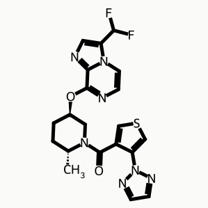 C[C@@H]1CC[C@@H](Oc2nccn3c(C(F)F)cnc23)CN1C(=O)c1cscc1-n1nccn1